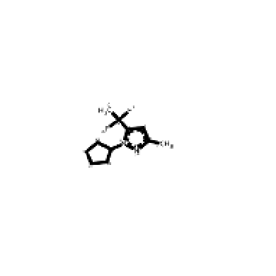 Cc1cc(C(C)(F)F)n(C2CCCC2)n1